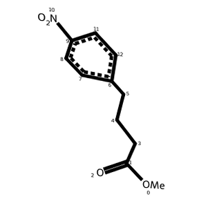 COC(=O)CCCc1ccc([N+](=O)[O-])cc1